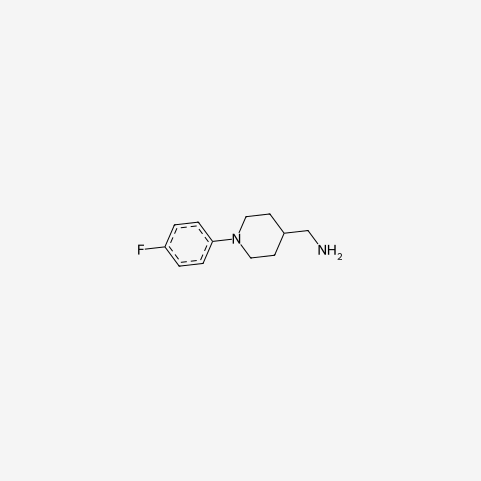 NCC1CCN(c2ccc(F)cc2)CC1